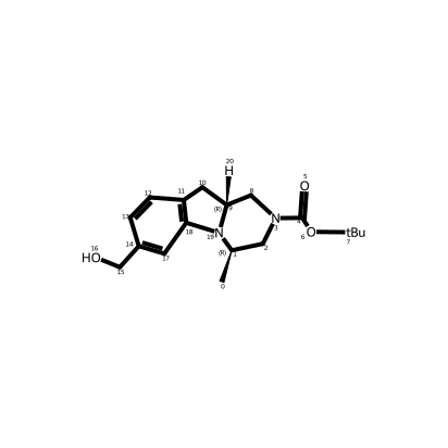 C[C@@H]1CN(C(=O)OC(C)(C)C)C[C@H]2Cc3ccc(CO)cc3N21